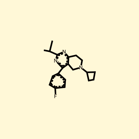 CC(C)c1nc2c(c(-c3ccc(F)cc3)n1)CN(C1CCC1)CC2